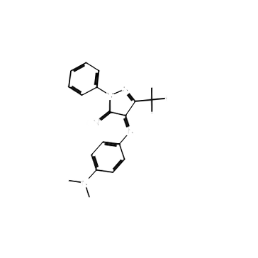 CN(C)c1ccc(N=C2C(=N)N(c3ccccc3)N=C2C(F)(F)F)cc1